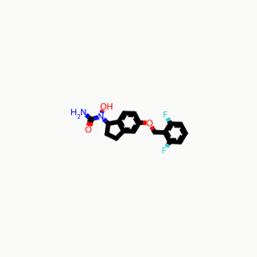 NC(=O)N(O)C1CCc2cc(OCc3c(F)cccc3F)ccc21